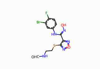 O=CNCCSc1nonc1/C(=N/O)Nc1ccc(F)c(Br)c1